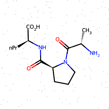 CCC[C@H](NC(=O)[C@@H]1CCCN1C(=O)[C@H](C)N)C(=O)O